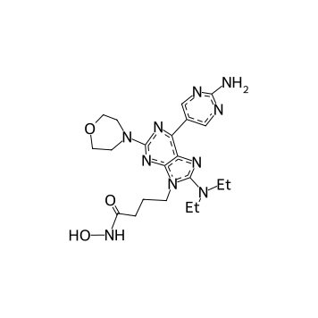 CCN(CC)c1nc2c(-c3cnc(N)nc3)nc(N3CCOCC3)nc2n1CCCC(=O)NO